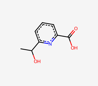 CC(O)c1cccc(C(=O)O)n1